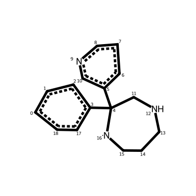 c1ccc(C2(c3cccnc3)CNCCC[N]2)cc1